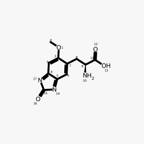 COc1cc2c(cc1C[C@H](N)C(=O)O)=NC(=O)N=2